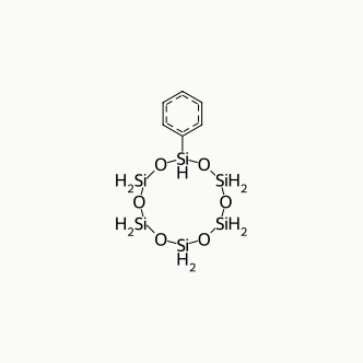 c1ccc([SiH]2O[SiH2]O[SiH2]O[SiH2]O[SiH2]O[SiH2]O2)cc1